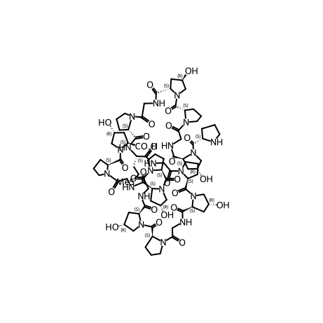 CSCC[C@H](NC(=O)[C@@H]1CCCN1C(=O)CNC(=O)[C@@H]1C[C@@H](O)CN1C(=O)[C@@H]1CCCN1C(=O)CNC(=O)[C@@H]1C[C@@H](O)CN1C(=O)[C@@H]1CCCN1)C(=O)NCC(=O)N1CCC[C@H]1C(=O)N1C[C@H](O)C[C@H]1C(=O)NCC(=O)N1CCC[C@H]1C(=O)N1C[C@H](O)C[C@H]1C(=O)NCC(=O)N1CCC[C@H]1C(=O)N1C[C@H](O)C[C@H]1C(=O)NCC(=O)N1CCC[C@H]1C(=O)N1C[C@H](O)C[C@H]1C(=O)O